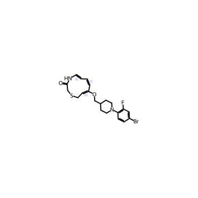 O=C1CSC/C=C(OCC2CCN(c3ccc(Br)cc3F)CC2)/C=C\C=C\N1